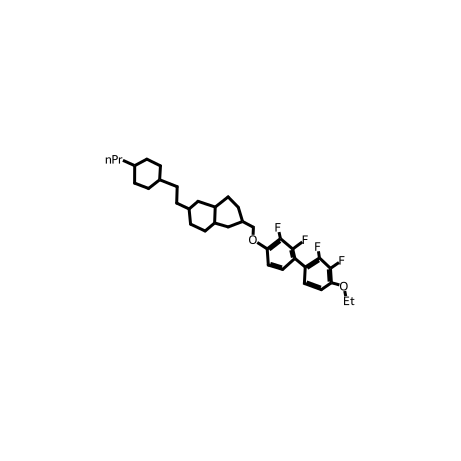 CCCC1CCC(CCC2CCC3CC(COc4ccc(-c5ccc(OCC)c(F)c5F)c(F)c4F)CCC3C2)CC1